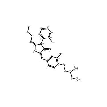 CCCN=C1SC(=Cc2ccc(OC[C@@H](O)CO)c(Cl)c2)C(=O)N1c1ccccc1C